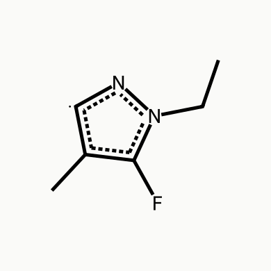 CCn1n[c]c(C)c1F